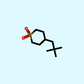 CC(C)(C)CC1CCS(=O)(=O)CC1